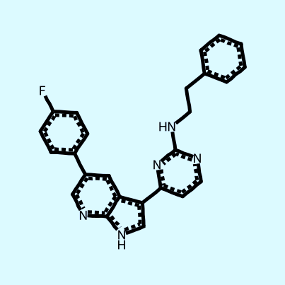 Fc1ccc(-c2cnc3[nH]cc(-c4ccnc(NCCc5ccccc5)n4)c3c2)cc1